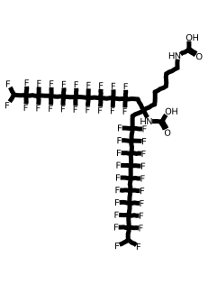 O=C(O)NCCCCCC(CC(F)(F)C(F)(F)C(F)(F)C(F)(F)C(F)(F)C(F)(F)C(F)(F)C(F)(F)C(F)(F)C(F)F)(CC(F)(F)C(F)(F)C(F)(F)C(F)(F)C(F)(F)C(F)(F)C(F)(F)C(F)(F)C(F)(F)C(F)F)NC(=O)O